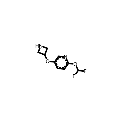 FC(F)Oc1ccc(OC2CNC2)cn1